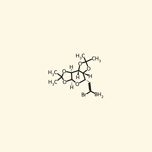 B/C(Br)=C/[C@@H]1O[C@H]2OC(C)(C)O[C@H]2[C@@H]2OC(C)(C)O[C@@H]21